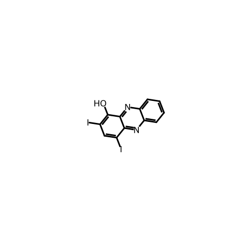 Oc1c(I)cc(I)c2nc3ccccc3nc12